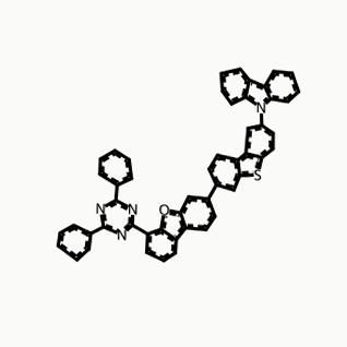 c1ccc(-c2nc(-c3ccccc3)nc(-c3cccc4c3oc3cc(-c5ccc6c(c5)sc5ccc(-n7c8ccccc8c8ccccc87)cc56)ccc34)n2)cc1